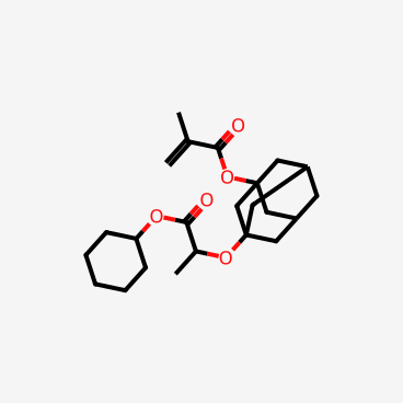 C=C(C)C(=O)OC12CC3CC(C1)CC(OC(C)C(=O)OC1CCCCC1)(C3)C2